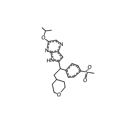 CC(C)Oc1cnc2cc(C(CC3CCOCC3)c3ccc(S(C)(=O)=O)cc3)[nH]c2n1